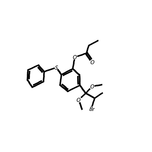 CCC(=O)Oc1cc(C(OC)(OC)C(C)Br)ccc1Sc1ccccc1